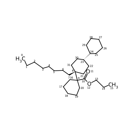 CCCCCCCC[C@]1(C2(C(=O)OCCC)CCCCC2)CC[C@@H](C2CCCCC2)CC1